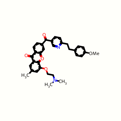 COc1ccc(CCc2ccc(C(=O)c3ccc4c(=O)c5cc(C)cc(OCCN(C)C)c5oc4c3)cn2)cc1